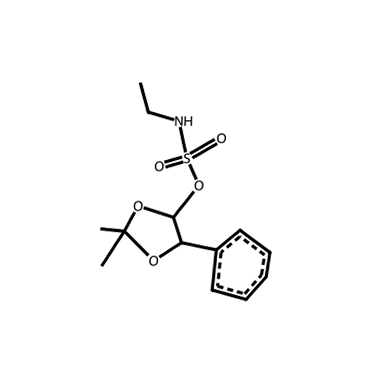 CCNS(=O)(=O)OC1OC(C)(C)OC1c1ccccc1